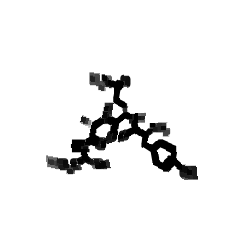 CC[C@H](C)[C@H](NC(=O)[C@H](C)NC(=O)[C@H](CCC(N)=O)NC(=O)[C@@H](N)Cc1ccc(O)cc1)C(=O)O